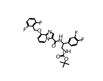 CC(C)(C)OC(=O)NCC(NC(=O)c1cnc2c(OCc3c(F)cccc3F)cccn12)c1ccc(F)c(F)c1